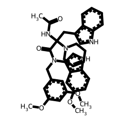 COc1cc(CN(C(=O)C(Cc2c[nH]c3ccccc23)(NC(C)=O)N2CC=CCC2)c2c[nH]c3ccc(OC)cc23)cc(OC)c1